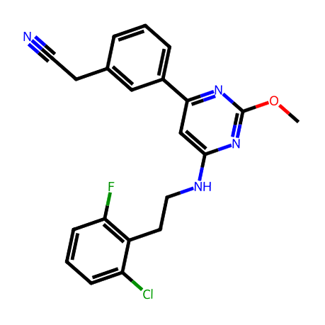 COc1nc(NCCc2c(F)cccc2Cl)cc(-c2cccc(CC#N)c2)n1